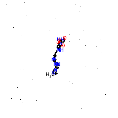 CN1CCN(c2ccc3ncc(-c4cnn(C5CC(CCCNc6ccc7c(c6)C(=O)N(C6CCC(=O)NC6=O)C7=O)C5)c4)nc3c2)CC12CC2